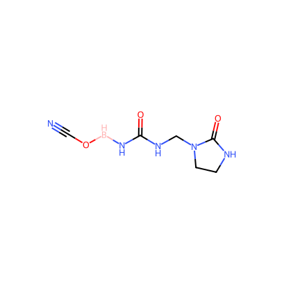 N#COBNC(=O)NCN1CCNC1=O